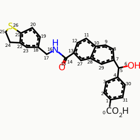 O=C(O)c1ccc(C(O)c2ccc3ccc(C(=O)NCc4ccc5c(c4)CCS5)cc3c2)cc1